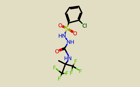 CC(NC(=O)NNS(=O)(=O)c1ccccc1Cl)(C(F)(F)F)C(F)(F)F